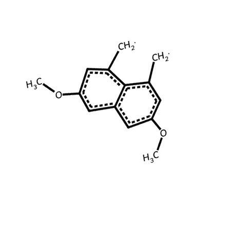 [CH2]c1cc(OC)cc2cc(OC)cc([CH2])c12